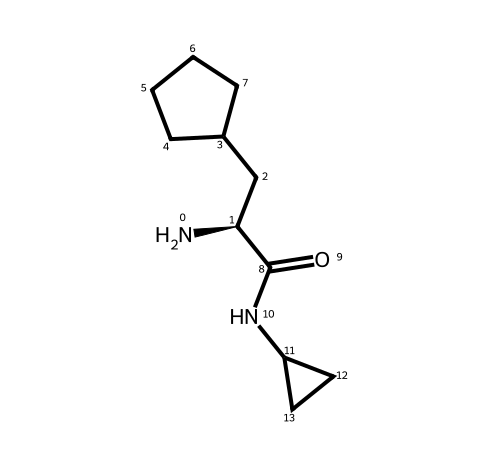 N[C@@H](CC1CCCC1)C(=O)NC1CC1